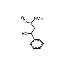 CNC(CC(O)c1ccccc1)P=O